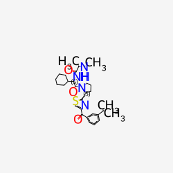 CNC(C)C(=O)N[C@H](C(=O)N1CCC[C@H]1c1nc(C(=O)c2cccc(C(C)C)c2)cs1)C1CCCCC1